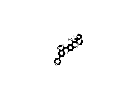 CC12NC=CN1C=CN=C2C(O)c1cc(-c2ncnc3cc(N4CCOCC4)ccc23)c(F)cc1Cl